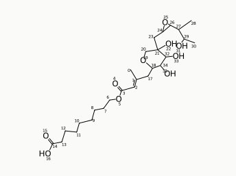 C/C(=C\C(=O)OCCCCCCCCC(=O)O)CC1OCC(O)(CC2OC2C(C)C(C)O)C(O)C1O